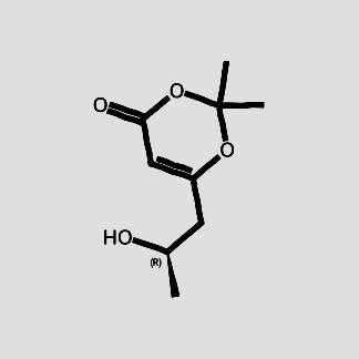 C[C@@H](O)CC1=CC(=O)OC(C)(C)O1